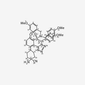 COc1ccc(CN(Cc2ccc(OC)cc2)S(=O)(=O)c2c(C(F)(F)F)ccc(C3CCC(N)(C#N)CC3)c2-c2nnnn2Cc2ccc(OC)cc2)cc1